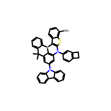 CC(C)(C)c1cccc2c3c(sc12)N(c1ccc2c(c1)CC2)c1cc(-n2c4ccccc4c4ccccc42)cc2c1B3c1ccccc1C2(C)C